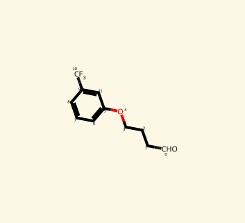 O=CCCCOc1cccc(C(F)(F)F)c1